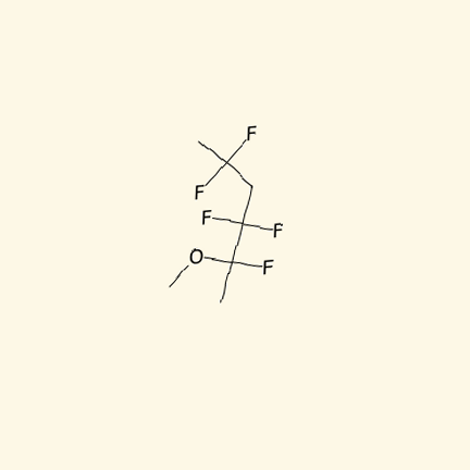 COC(C)(F)C(F)(F)CC(C)(F)F